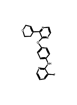 Fc1cccnc1Nc1ccc(Oc2nccnc2C2=CCOCC2)cc1